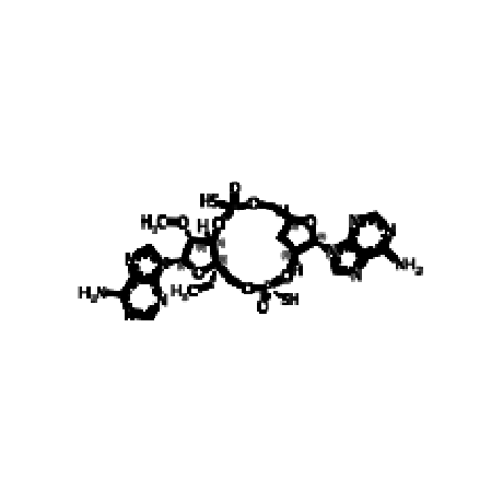 CC[C@@]12CO[P@@](=O)(S)O[C@@H]3C[C@@H](COP(=O)(S)O[C@H]1[C@@H](OC)[C@H](n1cnc4c(N)ncnc41)O2)O[C@H]3n1cnc2c(N)ncnc21